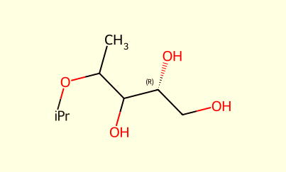 CC(C)OC(C)C(O)[C@H](O)CO